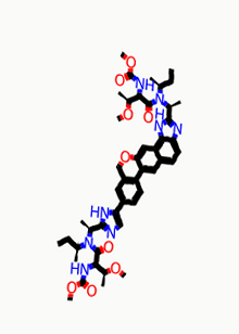 CC[C@H](C)N(C(=O)C(NC(=O)OC)[C@H](C)OC)[C@@H](C)c1ncc(-c2ccc3c(c2)COc2cc4c(ccc5nc([C@H](C)N(C(=O)C(NC(=O)OC)[C@H](C)OC)[C@@H](C)CC)[nH]c54)cc2-3)[nH]1